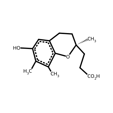 Cc1c(O)cc2c(c1C)O[C@](C)(CCC(=O)O)CC2